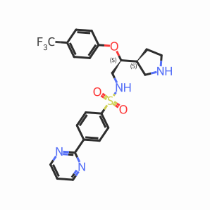 O=S(=O)(NC[C@@H](Oc1ccc(C(F)(F)F)cc1)[C@H]1CCNC1)c1ccc(-c2ncccn2)cc1